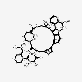 CCn1c(-c2cccnc2[C@H](C)OC)c2c3cc(ccc31)-c1csc(n1)C[C@H](NC(=O)[C@H](C(C)C)N(C)C(=O)N1CCOCC1CN(C)C)C(=O)N1CCC[C@H]([SiH2]N1)C(=O)OCC(C)(C)C2